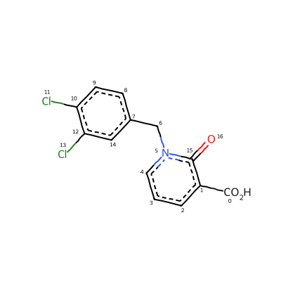 O=C(O)c1cccn(Cc2ccc(Cl)c(Cl)c2)c1=O